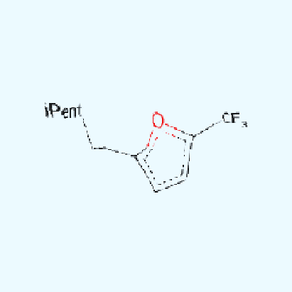 CCCC(C)Cc1ccc(C(F)(F)F)o1